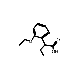 CCOc1ccccc1C(CC)C(=O)O